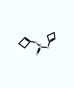 O=[PH](OC1=CCC1)OC1=CCC1